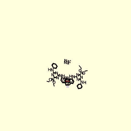 CCON(OCC)c1nc(Nc2ccccc2)nc(Nc2ccc(/C=C\c3ccc(Nc4nc(Nc5ccccc5)nc(N(OCC)OCC)n4)cc3S(=O)(=O)[O-])c(S(=O)(=O)[O-])c2)n1.[Na+].[Na+]